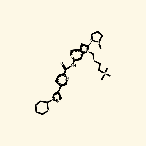 CN1CCC[C@@H]1c1cc2cnc(NC(=O)c3ccc(-c4cnn(C5CCCCO5)c4)cn3)cc2n1COCC[Si](C)(C)C